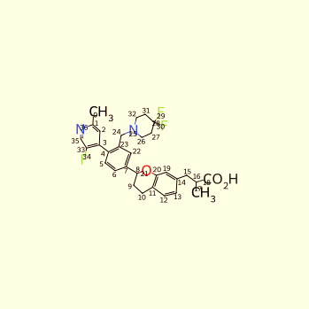 Cc1cc(-c2ccc(C3CCc4ccc(CC(C)C(=O)O)cc4O3)cc2CN2CCC(F)(F)CC2)c(F)cn1